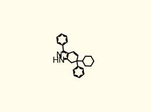 C1=CC(c2ccccc2)(C2CCCCC2)Cc2[nH]nc(-c3ccccc3)c21